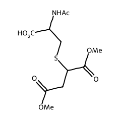 COC(=O)CC(SCC(NC(C)=O)C(=O)O)C(=O)OC